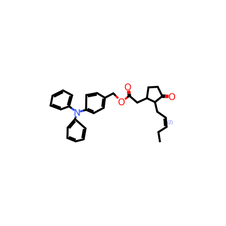 CC/C=C\CC1C(=O)CCC1CC(=O)OCc1ccc(N(c2ccccc2)c2ccccc2)cc1